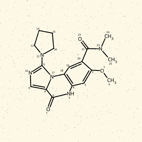 COc1cc2[nH]c(=O)c3cnc(N4CCCC4)n3c2cc1C(=O)N(C)C